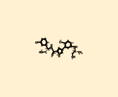 C[C@H](CO)Nc1cc(-c2c[nH]c(C(=O)N[C@H](CO)c3cccc(Cl)c3)c2)c(Cl)cn1